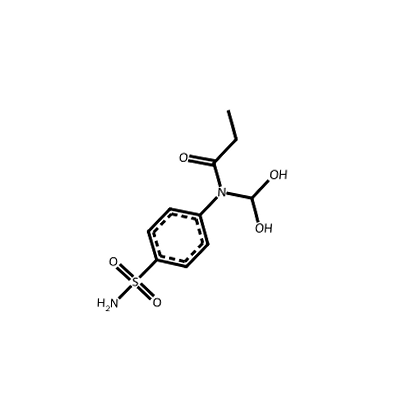 CCC(=O)N(c1ccc(S(N)(=O)=O)cc1)C(O)O